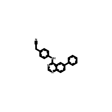 N#CCc1ccc(Nc2ncnc3ccc(-c4ccccc4)cc23)cc1